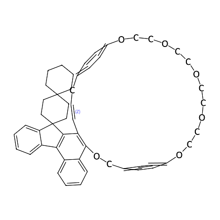 C1=C\c2c3c(c4ccccc4c2OCc2ccc(cc2)OCCOCCOCCOCCOc2ccc(cc2)C/1)-c1ccccc1C31CCC2(CCCCC2)CC1